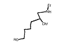 CCNCC(O)CCCCO